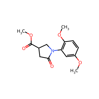 COC(=O)C1CC(=O)N(c2cc(OC)ccc2OC)C1